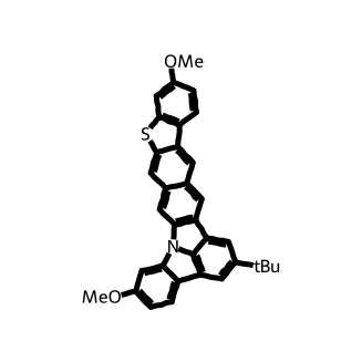 COc1ccc2c(c1)sc1cc3cc4c(cc3cc12)c1cc(C(C)(C)C)cc2c3ccc(OC)cc3n4c21